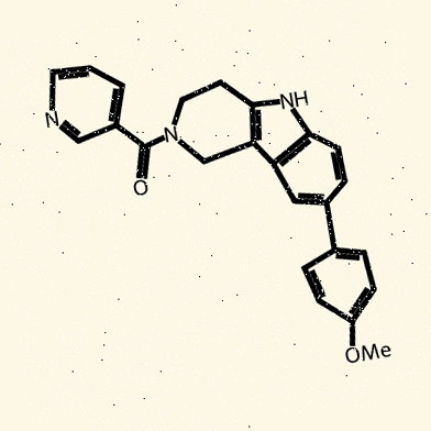 COc1ccc(-c2ccc3[nH]c4c(c3c2)CN(C(=O)c2cccnc2)CC4)cc1